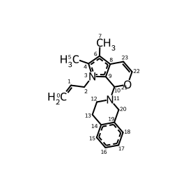 C=CCn1c(C)c(C)c2c1C(N1CCc3ccccc3C1)OC=C2